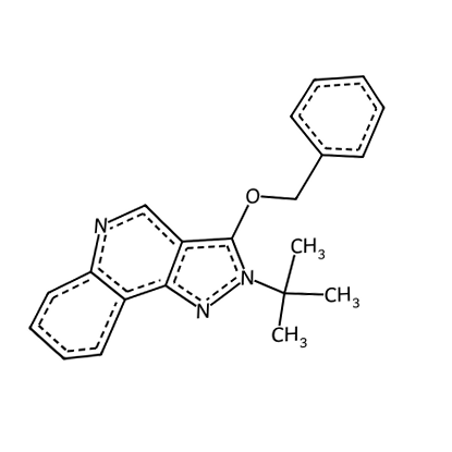 CC(C)(C)n1nc2c(cnc3ccccc32)c1OCc1ccccc1